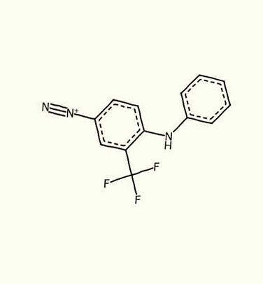 N#[N+]c1ccc(Nc2ccccc2)c(C(F)(F)F)c1